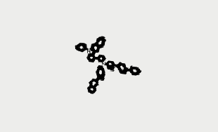 C1=c2ccccc2=CC(c2ccc(N(c3ccc(-c4ccc(-c5ccccc5)cc4)cc3)c3cccc(-c4cccc5c4c4cc6ccccc6cc4n5-c4ccccc4)c3)cc2)C1